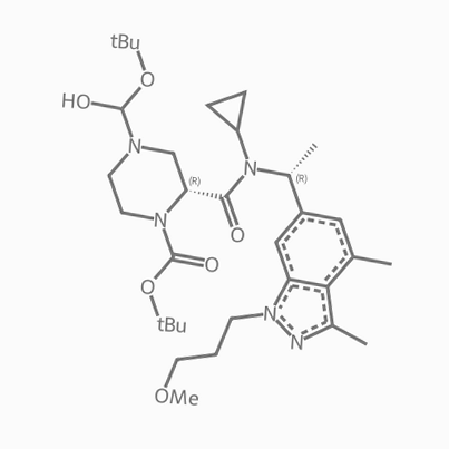 COCCCn1nc(C)c2c(C)cc([C@@H](C)N(C(=O)[C@H]3CN(C(O)OC(C)(C)C)CCN3C(=O)OC(C)(C)C)C3CC3)cc21